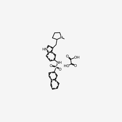 CN1CCCC1Cc1c[nH]c2ccc(NS(=O)(=O)c3ccc4ccccc4c3)cc12.O=C(O)C(=O)O